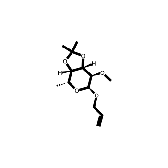 C=CCO[C@H]1O[C@H](C)[C@@H]2OC(C)(C)O[C@@H]2[C@H]1OC